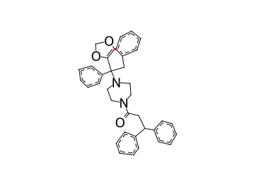 O=C(CC(c1ccccc1)c1ccccc1)N1CCN(C(Cc2ccccc2)(C2=COCO2)c2ccccc2)CC1